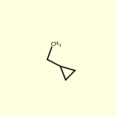 CCC1CC1